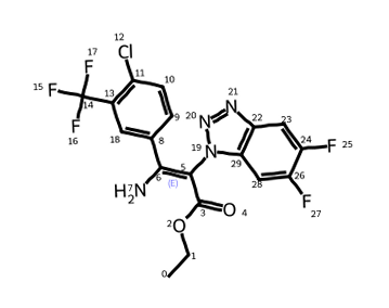 CCOC(=O)/C(=C(\N)c1ccc(Cl)c(C(F)(F)F)c1)n1nnc2cc(F)c(F)cc21